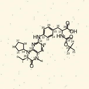 CC[C@@H]1C(=O)N(C)c2cnc(Nc3ccc(CC(NC(=O)OC(C)(C)C)C(=O)O)cc3)nc2N1C1CCCC1